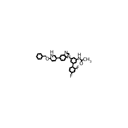 CC(=O)Nc1cc(-c2ccc(F)cc2F)cc(-n2cnc3cc(C4=CNC(OCc5ccccc5)C=C4)ccc32)c1